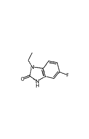 CCn1c(=O)[nH]c2cc(F)ccc21